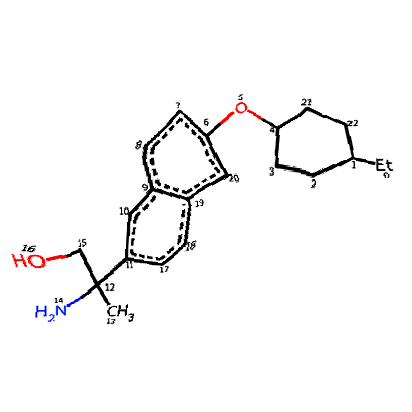 CCC1CCC(Oc2ccc3cc(C(C)(N)CO)ccc3c2)CC1